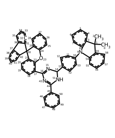 CC1(C)c2ccccc2N(c2ccc(C3N=C(c4cccc5c4Oc4ccccc4C54c5ccccc5-c5ccccc54)N=C(c4ccccc4)N3)cc2)c2ccccc21